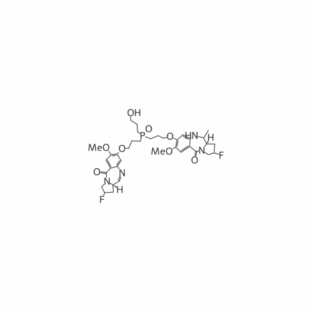 COc1cc2c(cc1OCCCP(=O)(CCCO)CCCOc1cc3c(cc1OC)C(=O)N1CC(F)C[C@H]1C(C)N3)N=C[C@@H]1CC(F)CN1C2=O